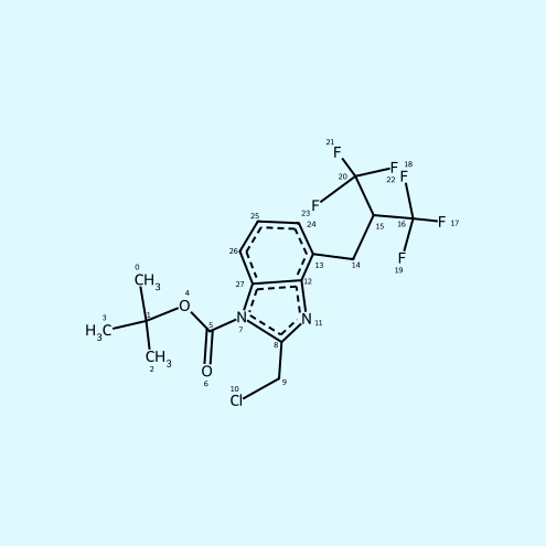 CC(C)(C)OC(=O)n1c(CCl)nc2c(CC(C(F)(F)F)C(F)(F)F)cccc21